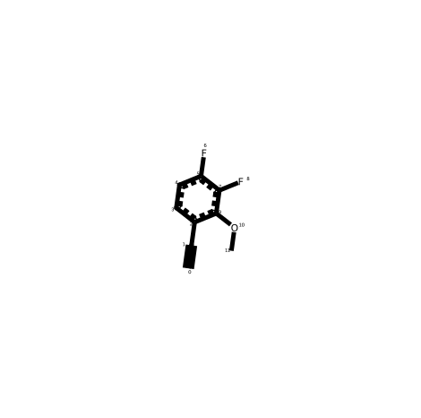 C#Cc1ccc(F)c(F)c1OC